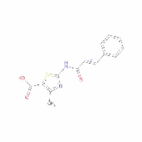 Cc1nc(NC(=O)/C=C/c2ccccc2)sc1C(=O)O